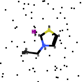 CCCCN1C=CSC1.I